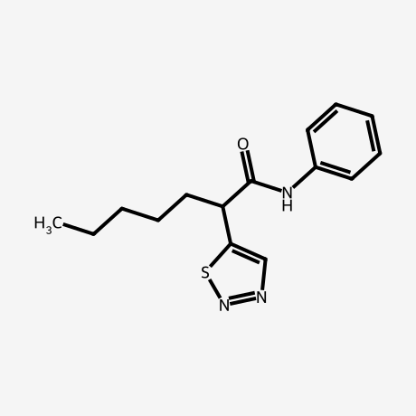 CCCCCC(C(=O)Nc1ccccc1)c1cnns1